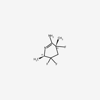 C[C@H]1N=C(N)[C@](C)(F)CC1(F)F